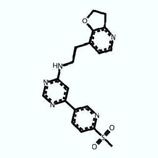 CS(=O)(=O)c1ccc(-c2cc(NCCc3ccnc4c3OCC4)ncn2)cn1